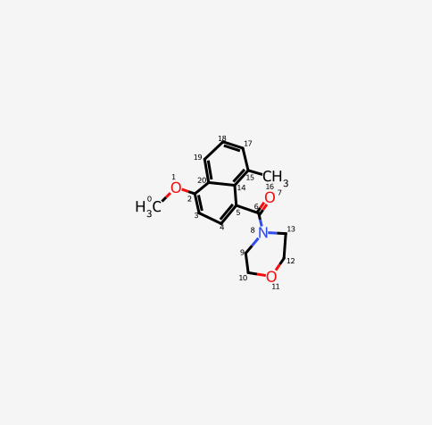 COc1ccc(C(=O)N2CCOCC2)c2c(C)cccc12